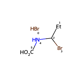 Br.CCC(Br)NC(=O)O